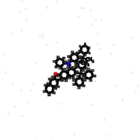 CC1(C)c2ccccc2-c2ccc(N(c3ccccc3-c3cccc4c3oc3cc5ccccc5cc34)c3cccc4c3-c3ccccc3C4(c3ccccc3)c3ccccc3)cc21